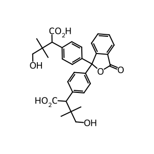 CC(C)(CO)C(C(=O)O)c1ccc(C2(c3ccc(C(C(=O)O)C(C)(C)CO)cc3)OC(=O)c3ccccc32)cc1